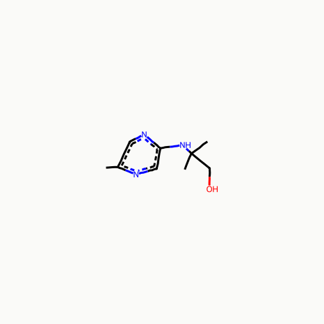 Cc1cnc(NC(C)(C)CO)cn1